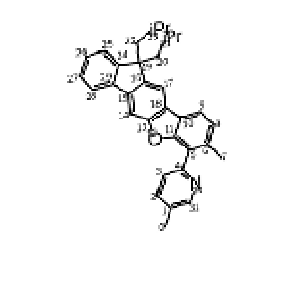 Cc1ccc(-c2c(C)ccc3c2oc2cc4c(cc23)C(CC(C)C)(CC(C)C)c2ccccc2-4)nc1